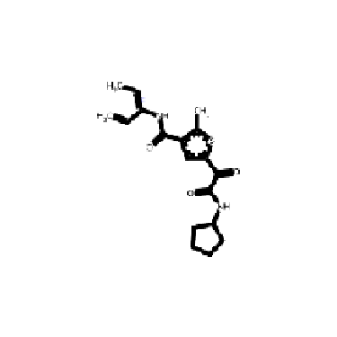 C=C/C(=C\C)NC(=O)c1cc(C(=O)C(=O)NC2CCCC2)sc1C